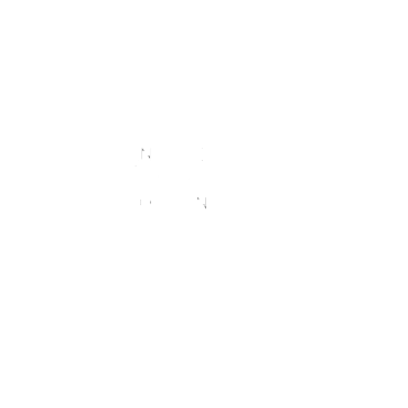 CCC(C)CN(Cc1ccccc1C)C(=O)C(N)=O